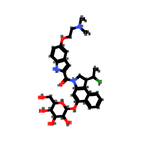 CC(Cl)[C@@H]1CN(C(=O)c2cc3cc(OCCN(C)C)ccc3[nH]2)c2cc(O[C@@H]3OC(CO)[C@H](O)C(O)C3O)c3ccccc3c21